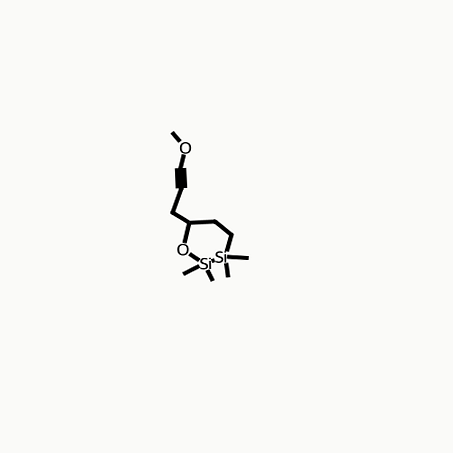 COC#CCC1CC[Si](C)(C)[Si](C)(C)O1